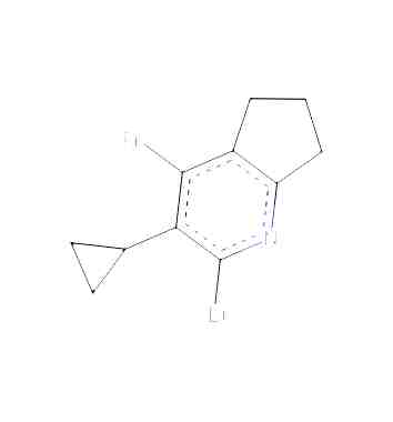 CCc1nc2c(c(C(C)C)c1C1CC1)CCC2